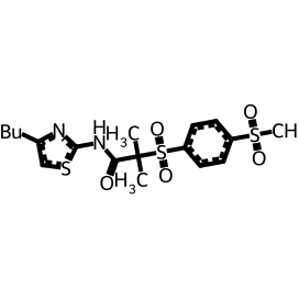 CC(C)(C)c1csc(NC(=O)C(C)(C)S(=O)(=O)c2ccc(S(C)(=O)=O)cc2)n1